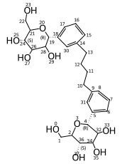 OCC1O[C@H](c2cccc(CCCCc3cccc([C@H]4OC(CO)[C@@H](O)C(O)C4O)c3)c2)C(O)C(O)[C@@H]1O